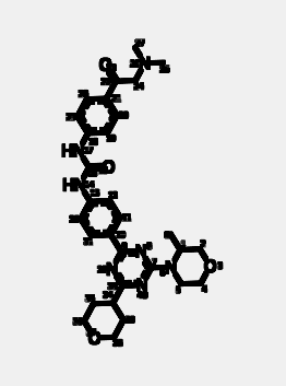 CC1COCCN1c1nc(-c2ccc(NC(=O)Nc3ccc(C(=O)CN(C)C)cc3)cc2)nc(C2CCOCC2)n1